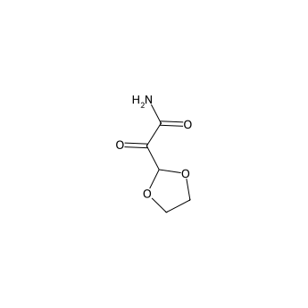 NC(=O)C(=O)C1OCCO1